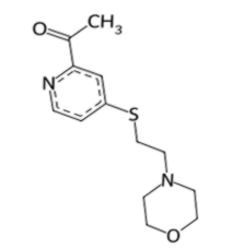 CC(=O)c1cc(SCCN2CCOCC2)ccn1